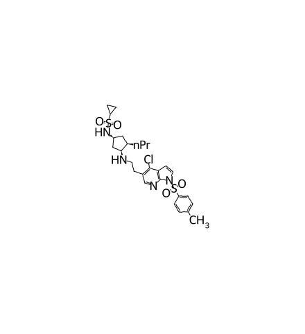 CCC[C@@H]1C[C@H](NS(=O)(=O)C2CC2)C[C@@H]1NCCc1cnc2c(ccn2S(=O)(=O)c2ccc(C)cc2)c1Cl